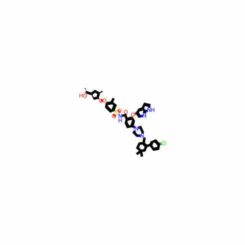 Cc1cc(S(=O)(=O)NC(=O)c2ccc(N3CCN(CC4=C(c5ccc(Cl)cc5)CC(C)(C)CC4)CC3)cc2Oc2cnc3[nH]ccc3c2)ccc1OO[C@H]1C[C@@H]([C@@H](C)O)C[C@H]1C